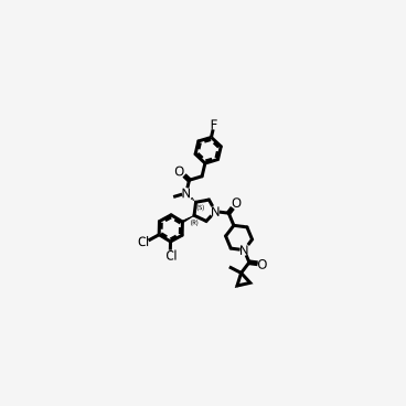 CN(C(=O)Cc1ccc(F)cc1)[C@@H]1CN(C(=O)C2CCN(C(=O)C3(C)CC3)CC2)C[C@H]1c1ccc(Cl)c(Cl)c1